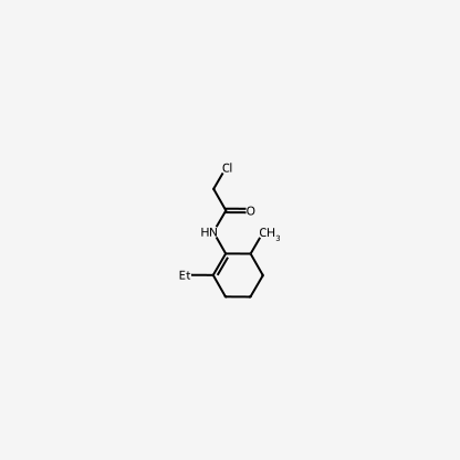 CCC1=C(NC(=O)CCl)C(C)CCC1